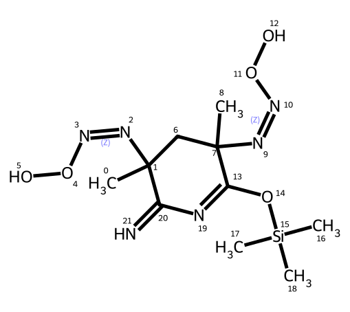 CC1(/N=N\OO)CC(C)(/N=N\OO)C(O[Si](C)(C)C)=NC1=N